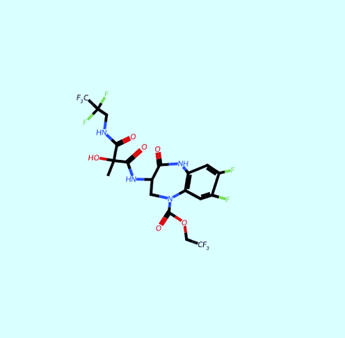 CC(O)(C(=O)NCC(F)(F)C(F)(F)F)C(=O)NC1CN(C(=O)OCC(F)(F)F)c2cc(F)c(F)cc2NC1=O